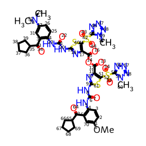 COc1ccc(NC(=O)Nc2nc(C(=O)OC(=O)c3nc(NC(=O)Nc4ccc(N(C)C)cc4C(=O)C4CCCC4)sc3S(=O)(=O)c3nnnn3C)c(S(=O)(=O)c3nnnn3C)s2)c(C(=O)C2CCCC2)c1